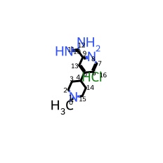 CN1CCC(c2ccnc(C(=N)N)c2)CC1.Cl